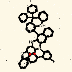 Cc1ccc(N2c3cc4c(cc3Bc3c2cc2ccccc2c3-c2cccc3c2Nc2ccccc2C3(c2ccccc2)c2ccccc2)sc2ccccc24)c(-c2ccccc2)c1